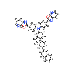 c1ccc2cc(-c3ccc4c(ccc5cc(N(c6ccc(-c7nc8cccnc8o7)cc6)c6ccc(-c7nc8cccnc8o7)cc6)ccc54)c3)ccc2c1